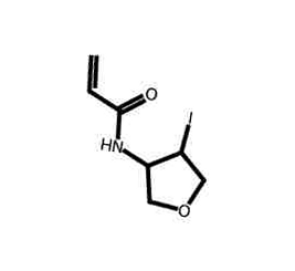 C=CC(=O)NC1COCC1I